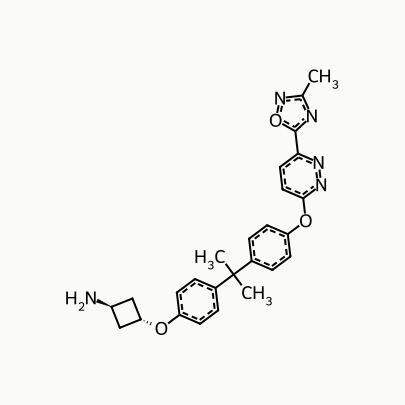 Cc1noc(-c2ccc(Oc3ccc(C(C)(C)c4ccc(O[C@H]5C[C@H](N)C5)cc4)cc3)nn2)n1